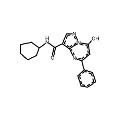 O=C(NC1CCCCC1)c1cnn2c(O)cc(-c3ccccc3)nc12